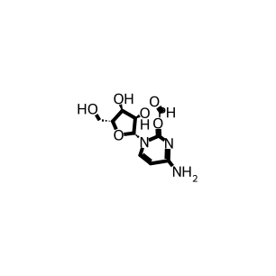 Nc1ccn([C@@H]2O[C@H](CO)[C@@H](O)[C@H]2O)c(=O)n1.O=P